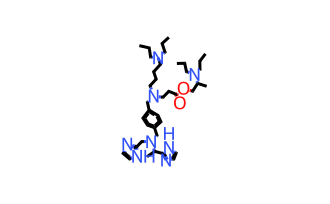 CCCN(CCC)CCCCN(CCC(=O)OCC(C)N(CCC)CCC)Cc1ccc(CN(Cc2ncc[nH]2)C(C)c2ncc[nH]2)cc1